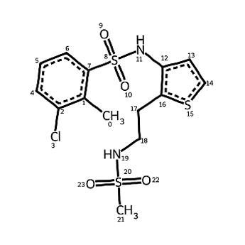 Cc1c(Cl)cccc1S(=O)(=O)Nc1ccsc1CCNS(C)(=O)=O